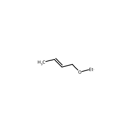 C[CH]OC/C=C/C